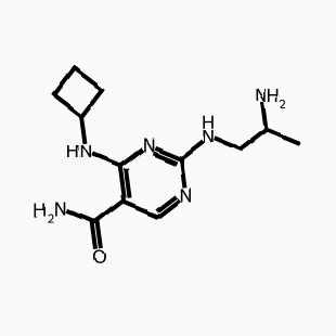 CC(N)CNc1ncc(C(N)=O)c(NC2CCC2)n1